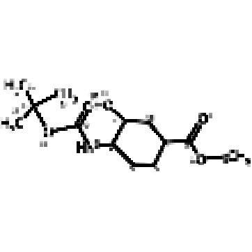 COC(=O)C1CCC(NC(=O)OC(C)(C)C)C(O)C1